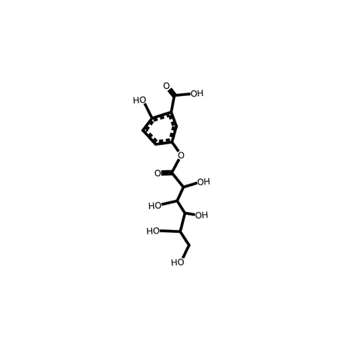 O=C(O)c1cc(OC(=O)C(O)C(O)C(O)C(O)CO)ccc1O